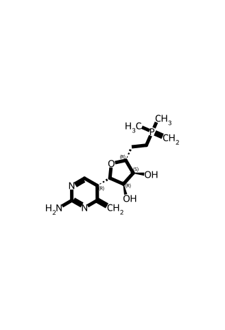 C=C1N=C(N)N=C[C@@H]1C1O[C@H](CCP(=C)(C)C)[C@@H](O)[C@H]1O